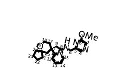 COc1cncc(CNCC[C@]2(c3ccccn3)CCOC3(CCCC3)C2)n1